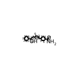 C[C@H](CCc1ccc(C(N)=O)cc1)NC[C@H](O)c1ccccc1